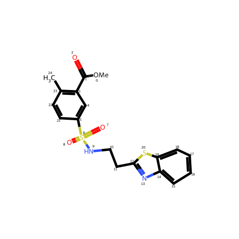 COC(=O)c1cc(S(=O)(=O)NCCc2nc3ccccc3s2)ccc1C